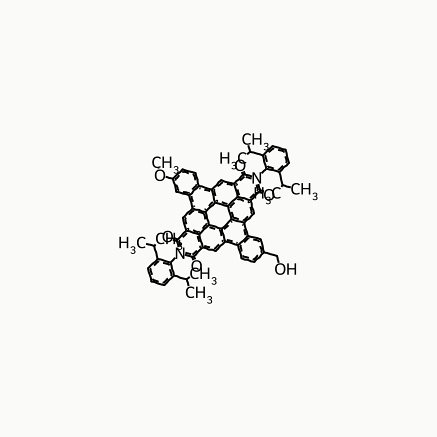 COc1ccc2c(c1)c1cc3c(=O)n(-c4c(C(C)C)cccc4C(C)C)c(=O)c4cc5c6ccc(CO)cc6c6cc7c(=O)n(-c8c(C(C)C)cccc8C(C)C)c(=O)c8cc2c2c1c(c43)c5c6c2c87